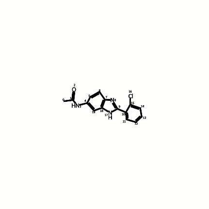 CC(=O)Nc1ccc2nc(-c3ccccc3Cl)[nH]c2c1